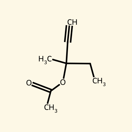 C#CC(C)(CC)OC(C)=O